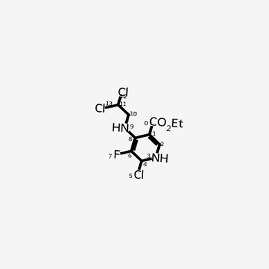 CCOC(=O)C1=CNC(Cl)C(F)=C1NCC(Cl)Cl